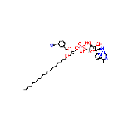 CCCCCCCCCCCCCCCCCCOC[C@H](COP(=O)(O)OC[C@H]1O[C@@](C#N)(c2ccc3c(C)ncnn23)[C@H](O)[C@@H]1O)OCc1cccc(C#N)c1